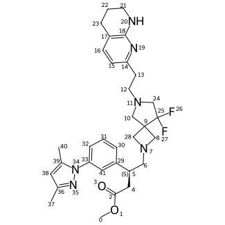 COC(=O)C[C@H](CN1CC2(CN(CCc3ccc4c(n3)NCCC4)CC2(F)F)C1)c1cccc(-n2nc(C)cc2C)c1